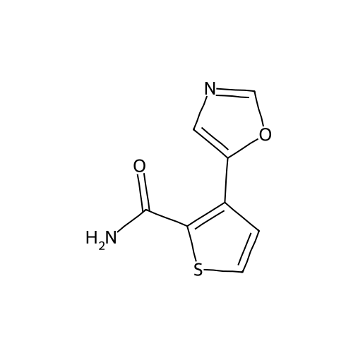 NC(=O)c1sccc1-c1cnco1